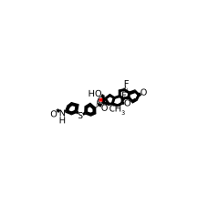 CC12CC3OC45C=CC(=O)C=C4[C@@H](F)CC(C1CC1O[C@@H](c4ccc(Sc6cccc(NC=O)c6)cc4)OC12C(=O)CO)[C@]35F